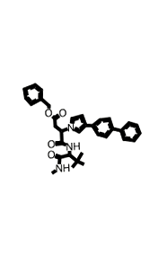 CNC(=O)C(NC(=O)C(CC(=O)OCc1ccccc1)n1ccc(-c2ccc(-c3ccccc3)cc2)c1)C(C)(C)C